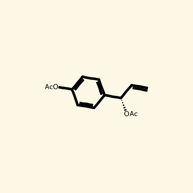 C=C[C@H](OC(C)=O)c1ccc(OC(C)=O)cc1